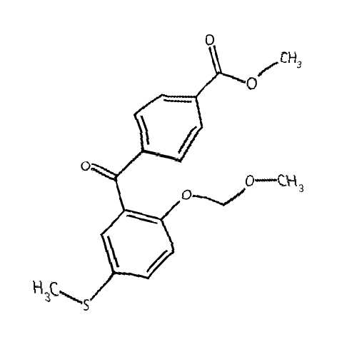 COCOc1ccc(SC)cc1C(=O)c1ccc(C(=O)OC)cc1